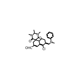 CC1N(C)C(=O)C2(CC(C=O)=CC3=C(Cl)/C(=C/N(C)c4ccccc4)CCC32)C(=O)N1C